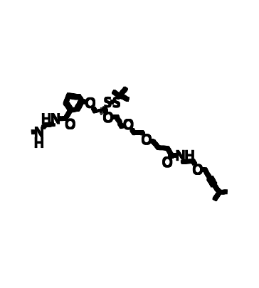 CNCCNC(=O)c1cccc(OC[C@H](OCCOCCOCCCC(=O)NCCOCC#CC(C)C)SSC(C)(C)C)c1